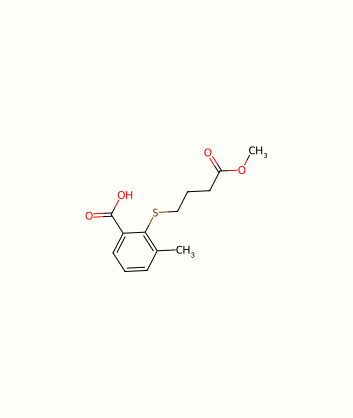 COC(=O)CCCSc1c(C)cccc1C(=O)O